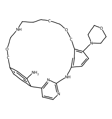 Nc1cc2ccc1-c1ccnc(n1)Nc1ccc(N3CCOCC3)c(c1)COCCCCCNCOC2